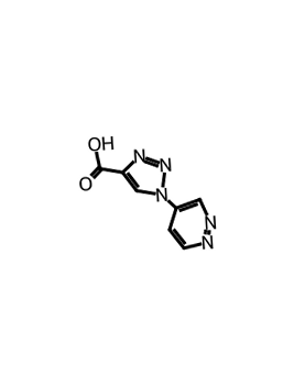 O=C(O)c1cn(-c2ccnnc2)nn1